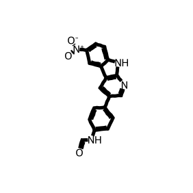 O=CNc1ccc(-c2cnc3[nH]c4ccc([N+](=O)[O-])cc4c3c2)cc1